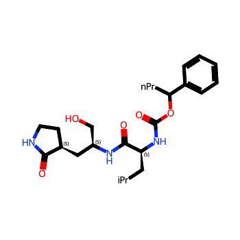 CCCC(OC(=O)N[C@@H](CC(C)C)C(=O)N[C@H](CO)C[C@@H]1CCNC1=O)c1ccccc1